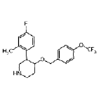 Cc1cc(F)ccc1C1CNCCC1OCc1ccc(OC(F)(F)F)cc1